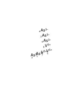 [As-3].[As-3].[As-3].[As-3].[As-3].[V+5].[V+5].[V+5]